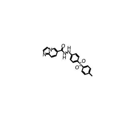 Cc1ccc(S(=O)(=O)c2ccc(NNC(=O)c3ccc4nccn4c3)cc2)cc1